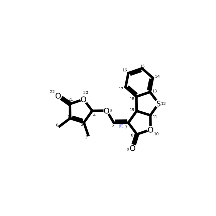 CC1=C(C)C(O/C=C2/C(=O)OC3Sc4ccccc4C23)OC1=O